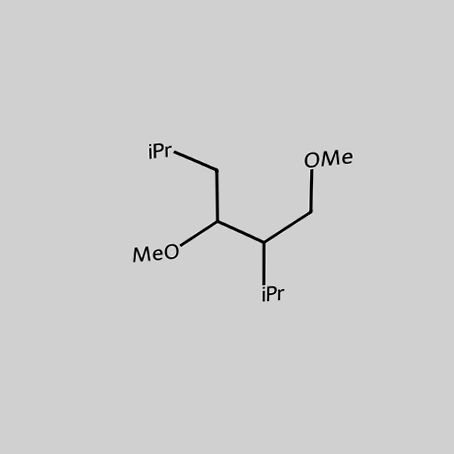 COCC(C(C)C)C(CC(C)C)OC